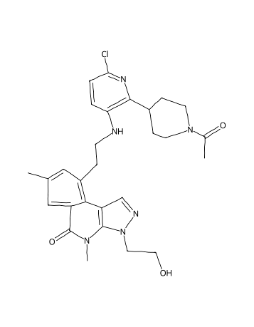 CC(=O)N1CCC(c2nc(Cl)ccc2NCCc2cc(C)cc3c(=O)n(C)c4c(cnn4CCO)c23)CC1